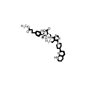 CCc1c(NC[C@H](NS(=O)(=O)c2ccc(CCC(=O)OC)cc2)C(=O)O)ncnc1N1CCC(c2ccc3c(n2)NCCC3)CC1